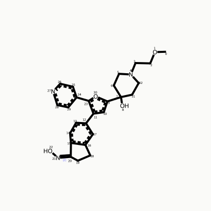 COCCN1CCC(O)(c2cc(-c3ccc4c(c3)CC/C4=N/O)c(-c3ccncc3)o2)CC1